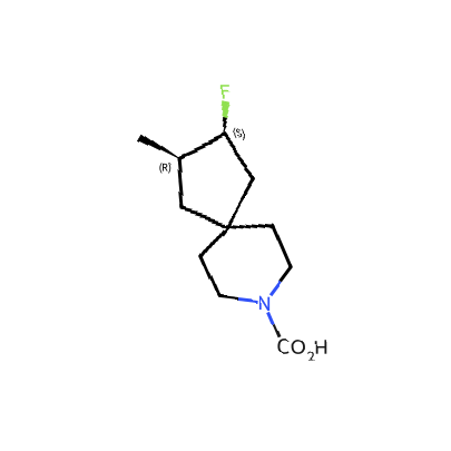 C[C@@H]1CC2(CCN(C(=O)O)CC2)C[C@@H]1F